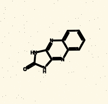 O=c1[nH]c2nc3ccccc3nc2[nH]1